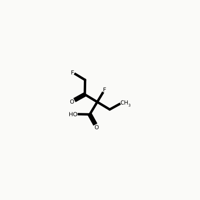 CCC(F)(C(=O)O)C(=O)CF